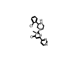 Cn1c(N2CCNC(c3ccccc3Cl)C2)nc(-c2ccncn2)cc1=O